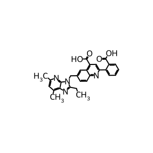 CCc1nc2c(C)cc(C)nc2n1Cc1ccc2nc(-c3ccccc3C(=O)O)cc(C(=O)O)c2c1